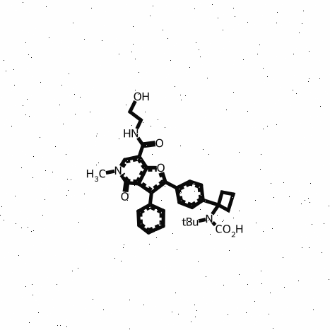 Cn1cc(C(=O)NCCO)c2oc(-c3ccc(C4(N(C(=O)O)C(C)(C)C)CCC4)cc3)c(-c3ccccc3)c2c1=O